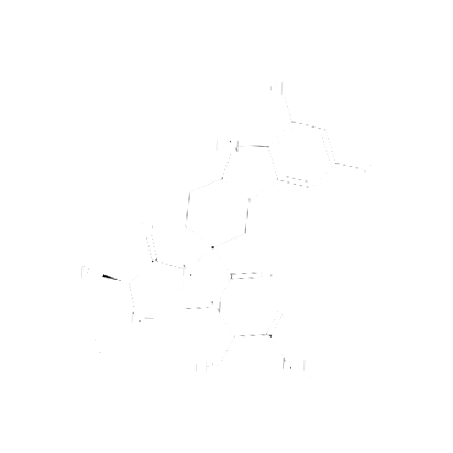 CCCC(C(N)=S)N(C)C(=O)C1(NC(=O)[C@@H](NC(=O)O)C(C)CC)CCc2[nH]c3c(Cl)cc(Cl)cc3c2C1